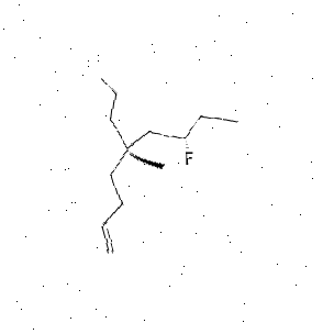 C=CCC[C@](C)(CCC)C[C@@H](F)CC